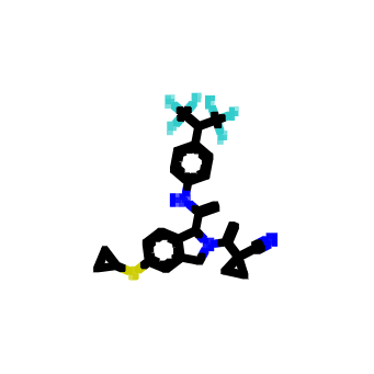 C=C(Nc1ccc(C(C(F)(F)F)C(F)(F)F)cc1)C1c2ccc(SC3CC3)cc2CN1C(=C)C1(C#N)CC1